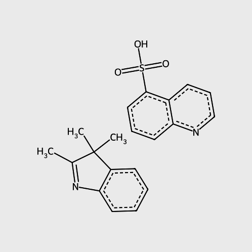 CC1=Nc2ccccc2C1(C)C.O=S(=O)(O)c1cccc2ncccc12